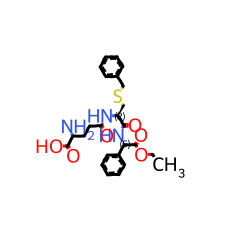 CCOC(=O)[C@@H](NC(=O)[C@H](CSCc1ccccc1)NC(=O)CCC(N)C(=O)O)c1ccccc1